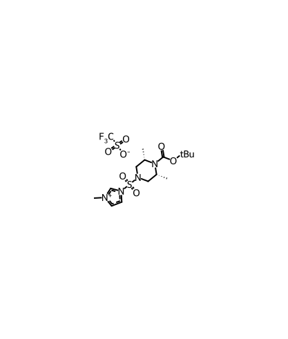 C[C@@H]1CN(S(=O)(=O)n2cc[n+](C)c2)C[C@H](C)N1C(=O)OC(C)(C)C.O=S(=O)([O-])C(F)(F)F